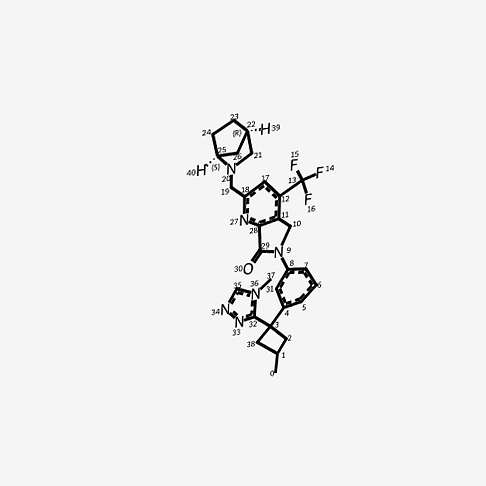 CC1CC(c2cccc(N3Cc4c(C(F)(F)F)cc(CN5C[C@@H]6CC[C@H]5C6)nc4C3=O)c2)(c2nncn2C)C1